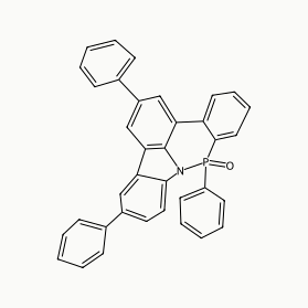 O=P1(c2ccccc2)c2ccccc2-c2cc(-c3ccccc3)cc3c4cc(-c5ccccc5)ccc4n1c23